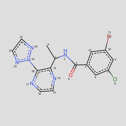 CC(NC(=O)c1cc(Cl)cc(Br)c1)c1nccnc1-n1nccn1